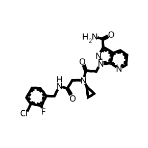 NC(=O)c1nn(CC(=O)N(CC(=O)NCc2cccc(Cl)c2F)C2CC2)c2ncccc12